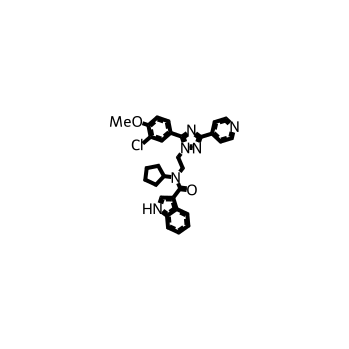 COc1ccc(-c2nc(-c3ccncc3)nn2CCN(C(=O)c2c[nH]c3ccccc23)C2CCCC2)cc1Cl